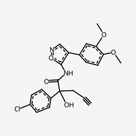 C#CCC(O)(C(=O)Nc1oncc1-c1ccc(OC)c(OC)c1)c1ccc(Cl)cc1